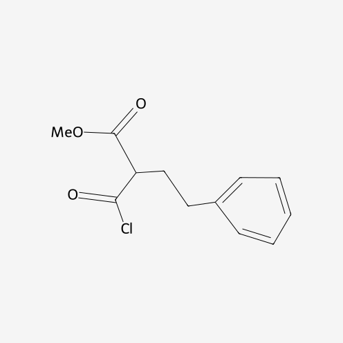 COC(=O)C(CCc1ccccc1)C(=O)Cl